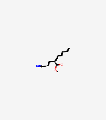 C=CC=CC=C(C=CC#N)C(=O)OC